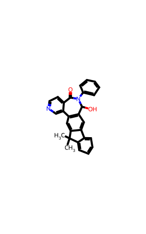 CC1(C)c2ccccc2-c2cc3c(cc21)-c1cnccc1C(=O)N(c1ccccc1)C3O